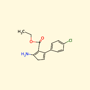 CCOC(=O)C1=C(N)CC=C1c1ccc(Cl)cc1